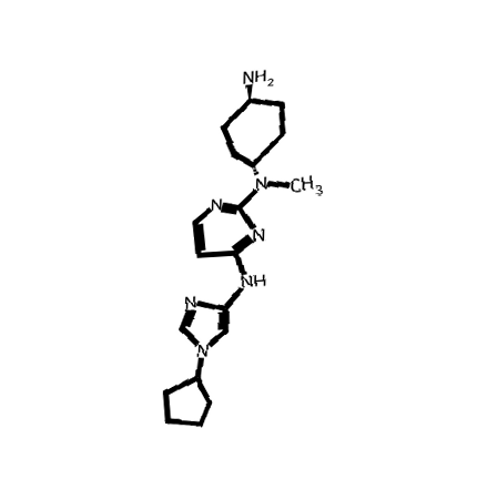 CN(c1nccc(Nc2cn(C3CCCC3)cn2)n1)[C@H]1CC[C@H](N)CC1